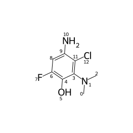 CN(C)c1c(O)c(F)cc(N)c1Cl